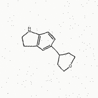 c1cc2c(cc1C1CCOCC1)CCN2